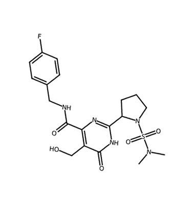 CN(C)S(=O)(=O)N1CCCC1c1nc(C(=O)NCc2ccc(F)cc2)c(CO)c(=O)[nH]1